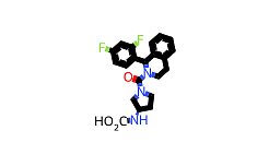 O=C(O)N[C@@H]1CCN(C(=O)N2CCc3ccccc3C2c2ccc(F)cc2F)C1